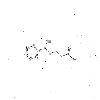 O=C(O)CCCC(O)c1cccnc1